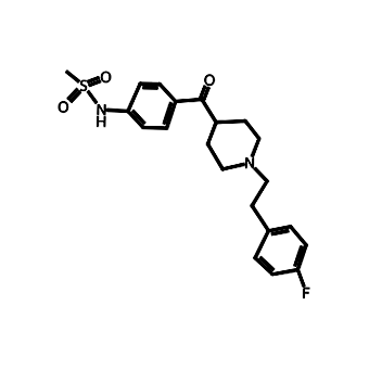 CS(=O)(=O)Nc1ccc(C(=O)C2CCN(CCc3ccc(F)cc3)CC2)cc1